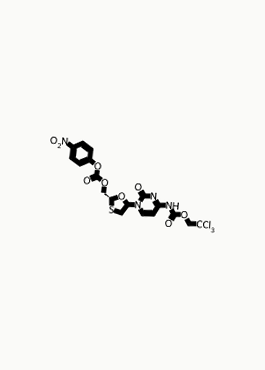 O=C(Nc1ccn(C2CS[C@H](COC(=O)Oc3ccc([N+](=O)[O-])cc3)O2)c(=O)n1)OCC(Cl)(Cl)Cl